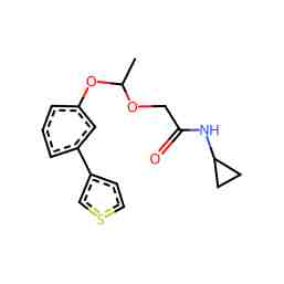 CC(OCC(=O)NC1CC1)Oc1cccc(-c2ccsc2)c1